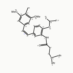 CCCN(CCC)CCC(=O)Nc1cc(/C=C\c2cc(OC)c(C)c(OC)c2)ccc1OC(F)F